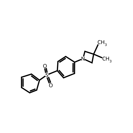 CC1(C)CN(c2ccc(S(=O)(=O)c3ccccc3)cc2)C1